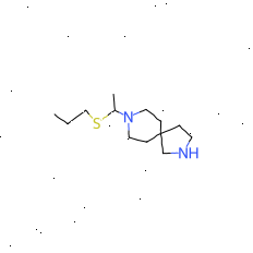 CCCSC(C)N1CCC2(CCNC2)CC1